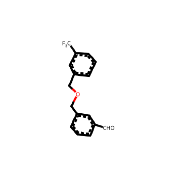 O=Cc1cccc(COCc2cccc(C(F)(F)F)c2)c1